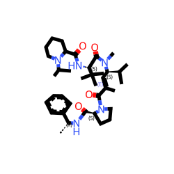 C/C(=C\[C@H](C(C)C)N(C)C(=O)[C@@H](NC(=O)C1CCCCN1C(C)C)C(C)(C)C)C(=O)N1CCC[C@H]1C(=O)N[C@H](C)c1ccccc1